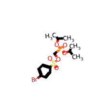 CC(C)OP(=O)(COS(=O)(=O)c1ccc(Br)cc1)OC(C)C